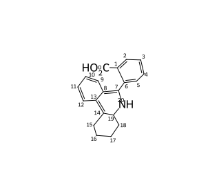 O=C(O)c1ccccc1C1=c2ccccc2=C2CCCCC2N1